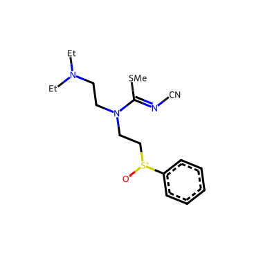 CCN(CC)CCN(CC[S+]([O-])c1ccccc1)C(=NC#N)SC